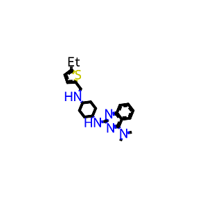 CCc1ccc(CNC2CCC(Nc3nc(N(C)C)c4ccccc4n3)CC2)s1